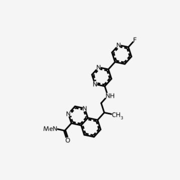 CNC(=O)c1ncnc2c(C(C)CNc3cc(-c4ccc(F)nc4)ncn3)cccc12